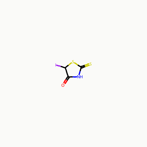 O=C1NC(=S)SC1I